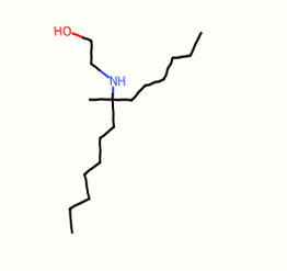 CCCCCCCC(C)(CCCCCC)NCCO